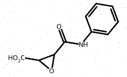 O=C(O)C1OC1C(=O)Nc1ccccc1